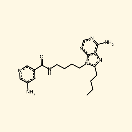 CCCCc1nc2c(N)ncnc2n1CCCCNC(=O)c1cncc(N)c1